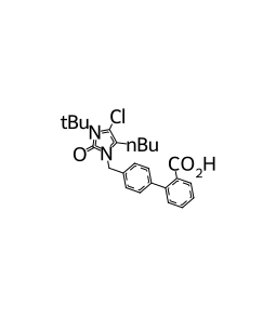 CCCCc1c(Cl)n(C(C)(C)C)c(=O)n1Cc1ccc(-c2ccccc2C(=O)O)cc1